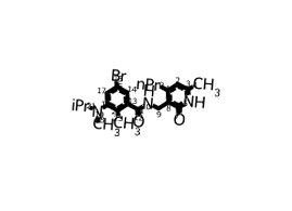 CCCc1cc(C)[nH]c(=O)c1CNC(=O)c1cc(Br)cc(N(C)C(C)C)c1C